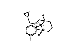 O[C@]1(c2cccc(I)c2)[C@@H]2CCC[C@H]1CN(CC1CC1)C2